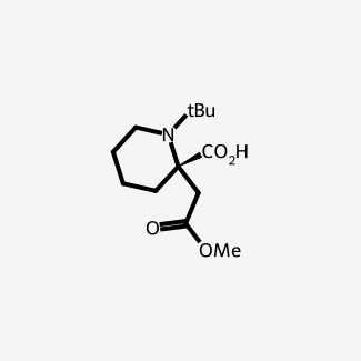 COC(=O)C[C@]1(C(=O)O)CCCCN1C(C)(C)C